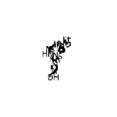 CCC(=O)Nc1ccc(Sc2nc(Nc3ncc(C(C)C)s3)nc(N3CCN(CCO)CC3)n2)cc1